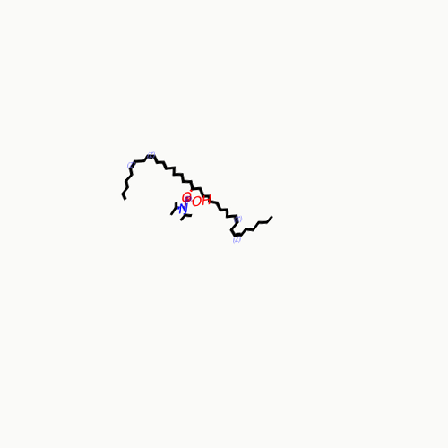 CCCCC/C=C\C/C=C\CCCCCCCCC(CCCCCCCC/C=C\C/C=C\CCCCC)OP(O)N(C(C)C)C(C)C